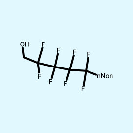 CCCCCCCCCC(F)(F)C(F)(F)C(F)(F)C(F)(F)CO